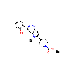 CCn1c(C2CCN(C(=O)OC(C)(C)C)CC2)cc2nnc(-c3ccccc3O)cc21